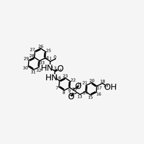 CC(NC(=O)Nc1ccc(S(=O)(=O)Cc2ccc(CO)cc2)cc1)c1cccc2ccccc12